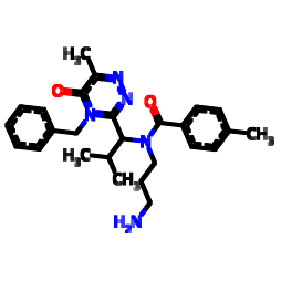 Cc1ccc(C(=O)N(CCCN)C(c2nnc(C)c(=O)n2Cc2ccccc2)C(C)C)cc1